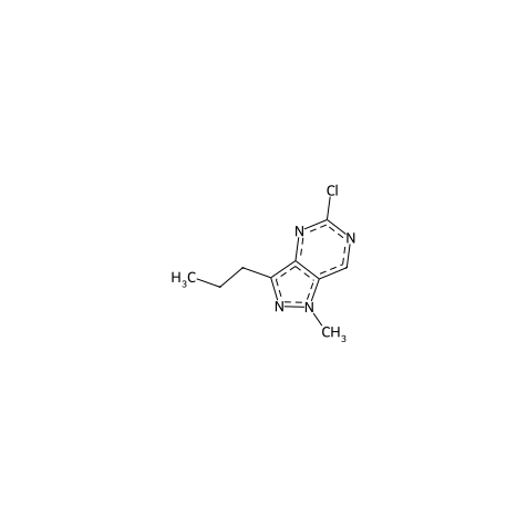 CCCc1nn(C)c2cnc(Cl)nc12